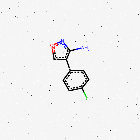 Nc1nocc1-c1ccc(Cl)cc1